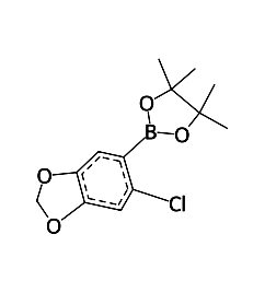 CC1(C)OB(c2cc3c(cc2Cl)OCO3)OC1(C)C